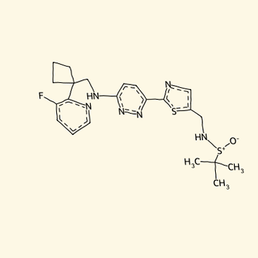 CC(C)(C)[S+]([O-])NCc1cnc(-c2ccc(NCC3(c4ncccc4F)CCC3)nn2)s1